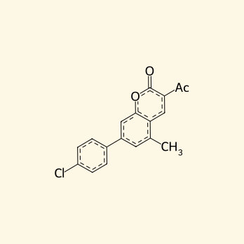 CC(=O)c1cc2c(C)cc(-c3ccc(Cl)cc3)cc2oc1=O